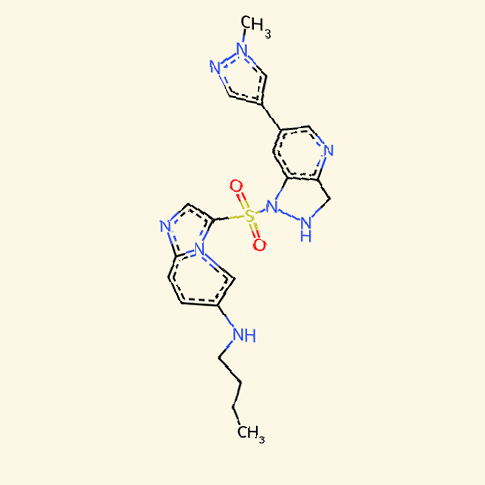 CCCCNc1ccc2ncc(S(=O)(=O)N3NCc4ncc(-c5cnn(C)c5)cc43)n2c1